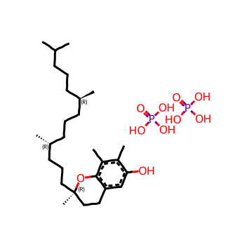 Cc1c(O)cc2c(c1C)O[C@](C)(CCC[C@H](C)CCC[C@H](C)CCCC(C)C)CC2.O=P(O)(O)O.O=P(O)(O)O